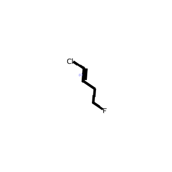 FCC/C=[C]/Cl